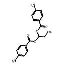 CCC(OC(=O)c1ccc(N)cc1)OC(=O)c1ccc(N)cc1